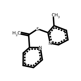 C=C(Sc1ncccc1C)c1ccccn1